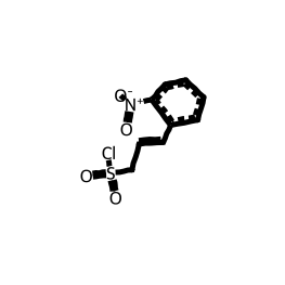 O=[N+]([O-])c1ccccc1C=CCS(=O)(=O)Cl